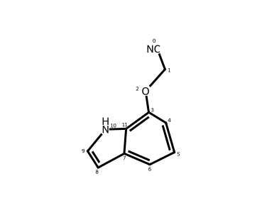 N#CCOc1cccc2cc[nH]c12